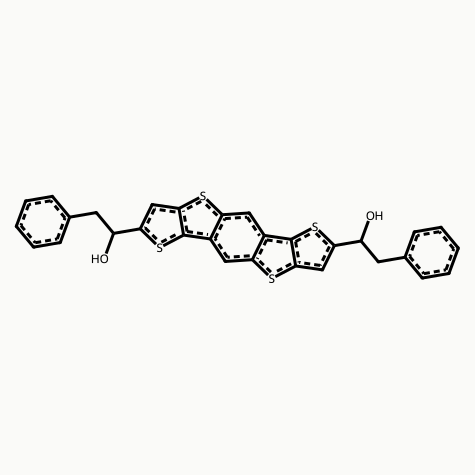 OC(Cc1ccccc1)c1cc2sc3cc4c(cc3c2s1)sc1cc(C(O)Cc2ccccc2)sc14